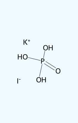 O=P(O)(O)O.[I-].[K+]